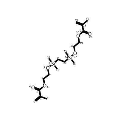 C=C(C)C(=O)OCCO[Si](C)(C)CC[Si](C)(C)OCCOC(=O)C(=C)C